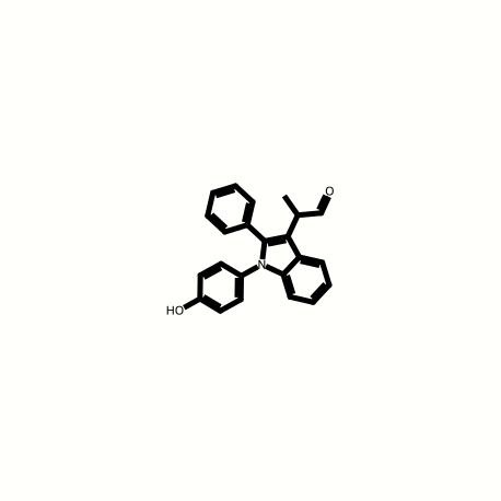 CC(C=O)c1c(-c2ccccc2)n(-c2ccc(O)cc2)c2ccccc12